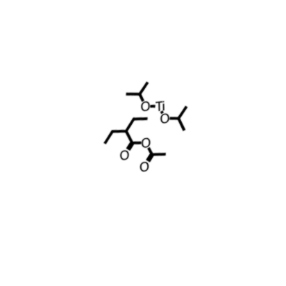 CC(C)[O][Ti][O]C(C)C.CCC(CC)C(=O)OC(C)=O